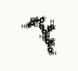 CC1(C)CCC(CN2CCN(c3ccc(C(=O)NS(=O)(=O)c4ccc(NC[C@H]5CC[C@](C)(O)CC5)c([N+](=O)[O-])c4)c(Oc4cnc5[nH]ccc5c4)c3)CC2)=C(c2cc(-c3c(Cl)cc(C(C)(C)O)cc3Cl)cs2)C1